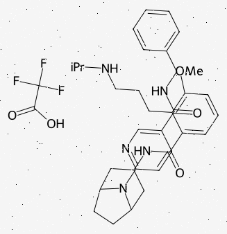 COc1cccc(C(=O)NC2CC3CCC(C2)N3c2ccc(C(=O)NCc3ccccc3)cn2)c1CCCNC(C)C.O=C(O)C(F)(F)F